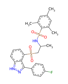 Cc1cc(C)c(S(=O)(=O)NC(C)CS(=O)(=O)c2cccc3[nH]nc(-c4ccc(F)cc4)c23)c(C)c1